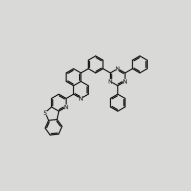 c1ccc(-c2nc(-c3ccccc3)nc(-c3cccc(-c4cccc5c(-c6ccc7sc8ccccc8c7n6)nccc45)c3)n2)cc1